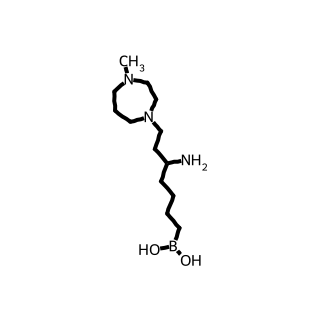 CN1CCCN(CCC(N)CCCCB(O)O)CC1